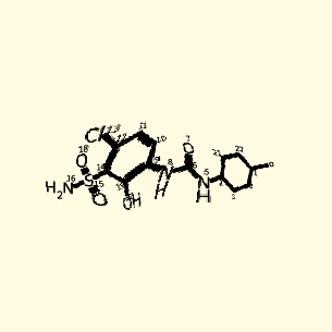 CC1CCC(NC(=O)Nc2ccc(Cl)c(S(N)(=O)=O)c2O)CC1